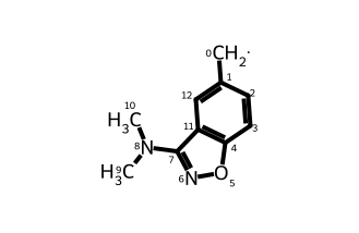 [CH2]c1ccc2onc(N(C)C)c2c1